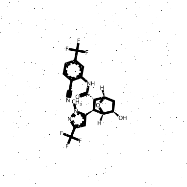 Cn1nc(C(F)(F)F)cc1[C@@H]1[C@@H]2O[C@@H](C[C@H]2O)[C@H]1C(=O)Nc1cc(C(F)(F)F)ccc1C#N